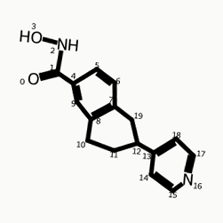 O=C(NO)c1ccc2c(c1)CCC(c1ccncc1)C2